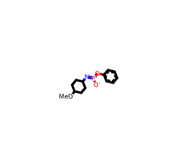 COC1CCC(/N=[P+](\[O-])Oc2ccccc2)CC1